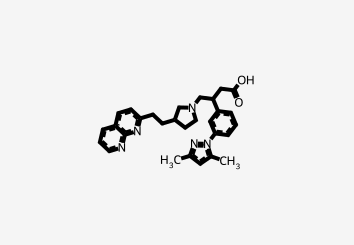 Cc1cc(C)n(-c2cccc(C(CC(=O)O)CN3CCC(CCc4ccc5cccnc5n4)C3)c2)n1